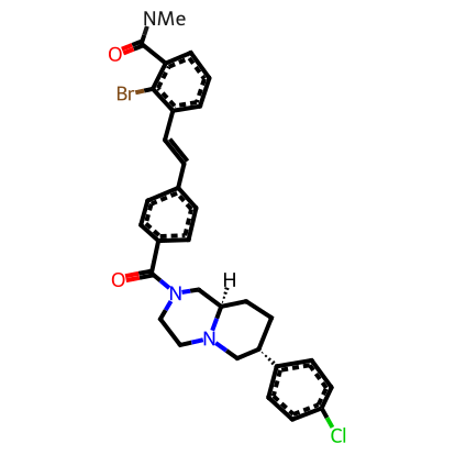 CNC(=O)c1cccc(/C=C/c2ccc(C(=O)N3CCN4C[C@@H](c5ccc(Cl)cc5)CC[C@@H]4C3)cc2)c1Br